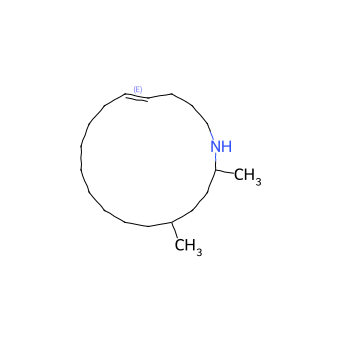 CC1CCCCCCCC/C=C/CCCNC(C)CC1